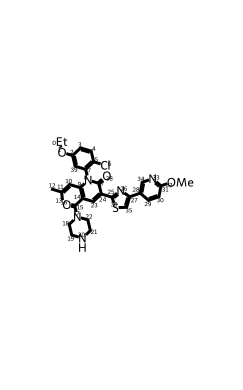 CCOc1ccc(Cl)c(-n2c(C=C(C)C)c(C(=O)N3CCNCC3)cc(-c3nc(-c4ccc(OC)nc4)cs3)c2=O)c1